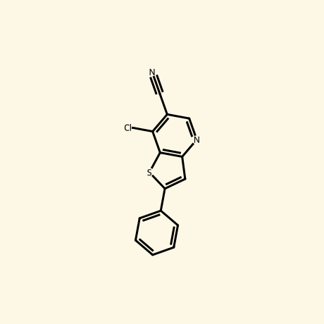 N#Cc1cnc2cc(-c3ccccc3)sc2c1Cl